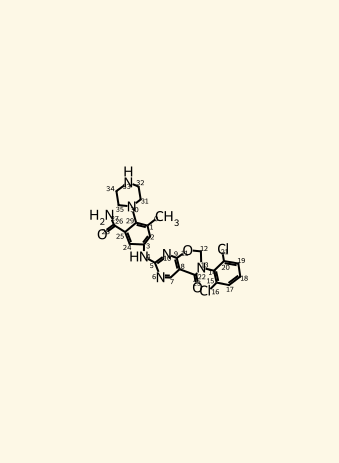 Cc1cc(Nc2ncc3c(n2)OCN(c2c(Cl)cccc2Cl)C3=O)cc(C(N)=O)c1N1CCNCC1